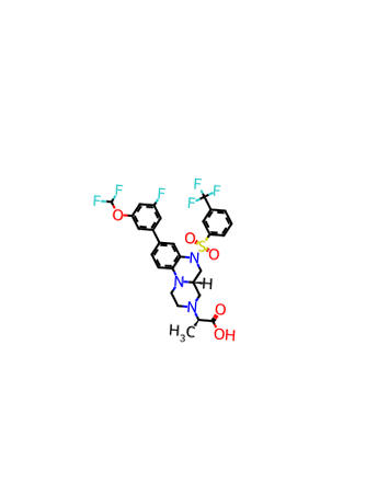 C[C@H](C(=O)O)N1CCN2c3ccc(-c4cc(F)cc(OC(F)F)c4)cc3N(S(=O)(=O)c3cccc(C(F)(F)F)c3)C[C@@H]2C1